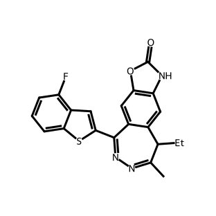 CCC1C(C)=NN=C(c2cc3c(F)cccc3s2)c2cc3oc(=O)[nH]c3cc21